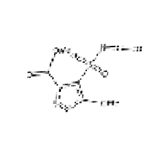 COC(=O)c1scc(OC)c1S(=O)(=O)N=C=O